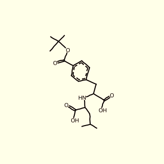 CC(C)CC(NC(Cc1ccc(C(=O)OC(C)(C)C)cc1)C(=O)O)C(=O)O